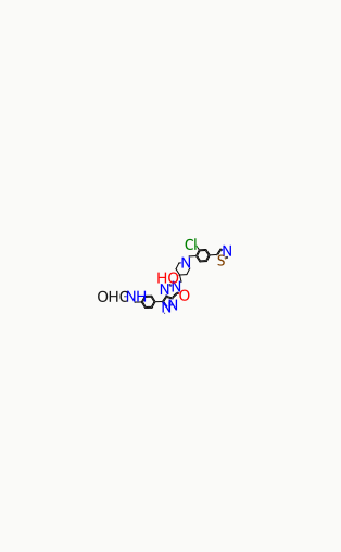 Cn1nc2c(=O)n(CC3(O)CCN(Cc4ccc(-c5cncs5)cc4Cl)CC3)cnc2c1-c1ccc(CNC=O)cc1